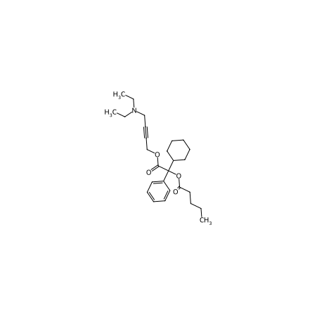 CCCCC(=O)OC(C(=O)OCC#CCN(CC)CC)(c1ccccc1)C1CCCCC1